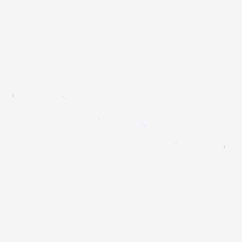 Cc1cc(N(c2cc(C)c(C(C)C)c(C)c2)c2cccc3c2c2cccc4c5c(-c6ccccc6)c6c(c(-c7ccccc7)c5n3c24)c2cccc3c4c(N(c5cc(C)c(C(C)C)c(C)c5)c5cc(C)c(C(C)C)c(C)c5)cccc4n6c32)c(C)cc1C(C)C